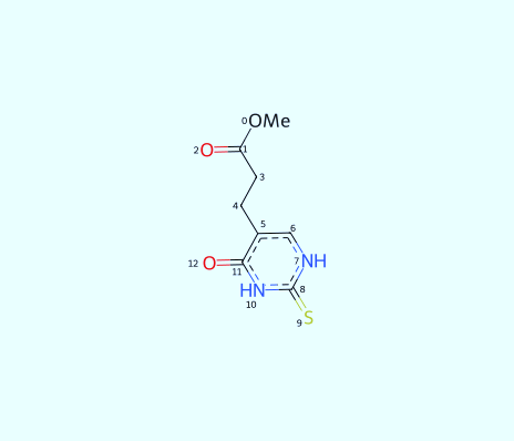 COC(=O)CCc1c[nH]c(=S)[nH]c1=O